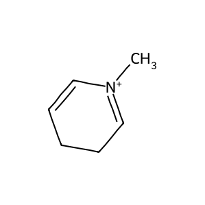 C[N+]1=CCCC=C1